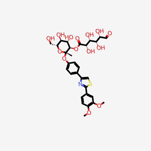 COc1ccc(-c2nc(-c3ccc(O[C@]4(C)O[C@H](CO)[C@@H](O)[C@H](O)[C@H]4OC(=O)[C@@H](O)[C@H](O)[C@@H](O)[C@H](O)C=O)cc3)cs2)cc1OC